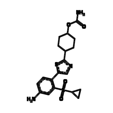 NC(=O)OC1CCC(c2ncc(-c3ccc(N)cc3S(=O)(=O)C3CC3)s2)CC1